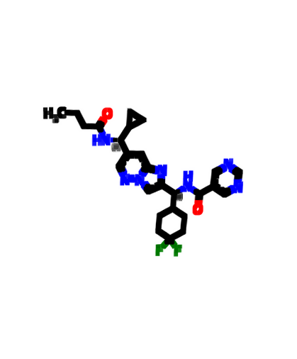 CCCC(=O)N[C@@H](c1cnn2cc([C@@H](NC(=O)c3cncnc3)C3CCC(F)(F)CC3)nc2c1)C1CC1